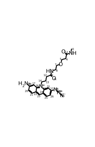 CNC(=O)CCOCCNC(=O)CCC[n+]1c2cc(N)ccc2cc2ccc(N=[N+]=[N-])cc21